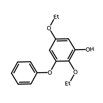 CCOc1cc(O)c(OCC)c(Oc2ccccc2)c1